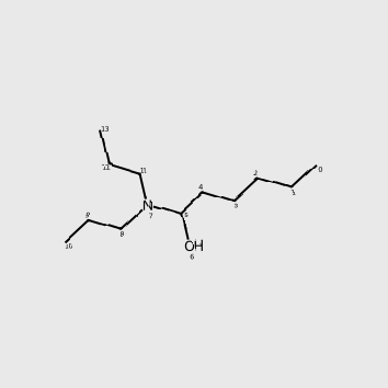 CCCCCC(O)N(CCC)CCC